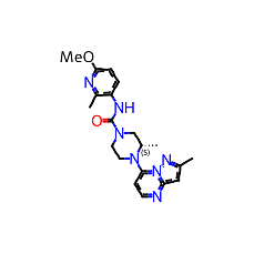 COc1ccc(NC(=O)N2CCN(c3ccnc4cc(C)nn34)[C@@H](C)C2)c(C)n1